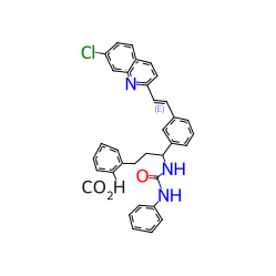 O=C(Nc1ccccc1)NC(CCc1ccccc1C(=O)O)c1cccc(/C=C/c2ccc3ccc(Cl)cc3n2)c1